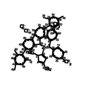 CCCCC1C=C(C(C)(C)C)C=[C]1[Zr+2](=[C](c1ccc(C(F)(F)F)cc1)c1ccc(C(F)(F)F)cc1)[CH]1c2cc(-c3c(C)cc(C)cc3C)ccc2-c2ccc(-c3c(C)cc(C)cc3C)cc21.[Cl-].[Cl-]